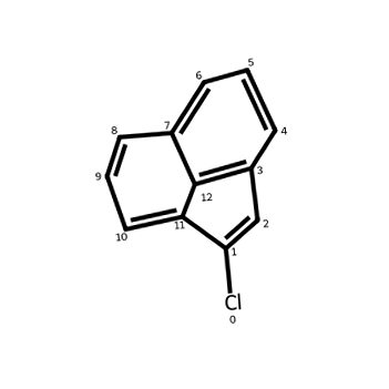 ClC1=Cc2cccc3cccc1c23